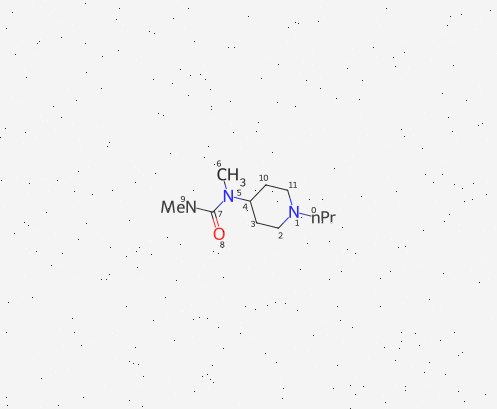 CCCN1CCC(N(C)C(=O)NC)CC1